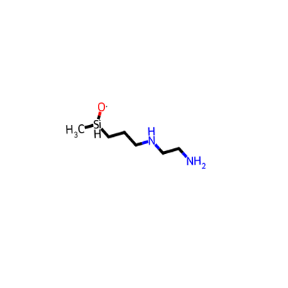 C[SiH]([O])CCCNCCN